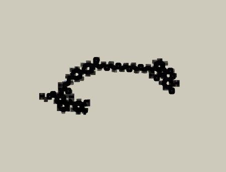 COc1cc2ncnc(Nc3ccc(F)c(Cl)c3)c2cc1NC(=O)/C=C/CN1CCC(N2CCN(C(=O)CCOCCOCCOCCOCCNc3cccc4c3C(=O)N(C3CCC(=O)NC3=O)C4=O)CC2)CC1